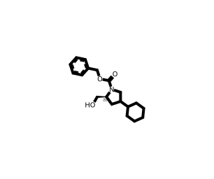 O=C(OCc1ccccc1)N1CC(C2CCCCC2)C[C@H]1CO